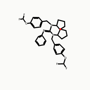 FC(F)Oc1ccc(CN(C(=Nc2ccccc2)N(Cc2ccc(OC(F)F)cc2)C2CCCC2)C2CCCC2)cc1